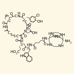 CC(C)C[C@@H]1CC(=O)CNC(=O)[C@H](Cc2ccc(O)c(Cl)c2)CC(=O)[C@@H]2C[C@@H](O)CN2C(=O)[C@@H](NC(=O)[C@@H](CCC(=O)O)CC(=O)[C@H](Cc2c[nH]c3ccccc23)NC(=O)CCCC(=O)N[C@]23CNCCNC[C@](N)(CNCCNC2)CNCCNC3)CSSC[C@@H](C)NC1=O